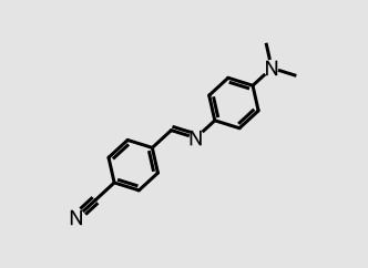 CN(C)c1ccc(N=Cc2ccc(C#N)cc2)cc1